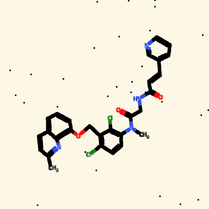 Cc1ccc2cccc(OCc3c(Cl)ccc(N(C)C(=O)CNC(=O)C=Cc4cccnc4)c3Cl)c2n1